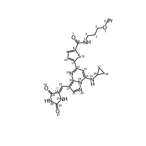 CC(C)OCCCNC(=O)c1ccc(-c2cc(NC3CC3)n3ncc(/C=C4\NC(=O)NC4=O)c3n2)s1